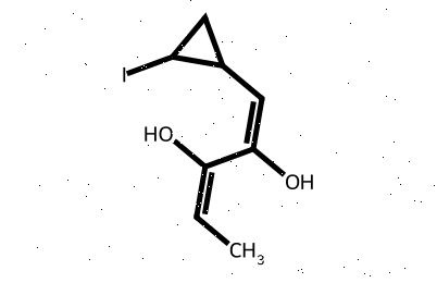 C/C=C(O)\C(O)=C/C1CC1I